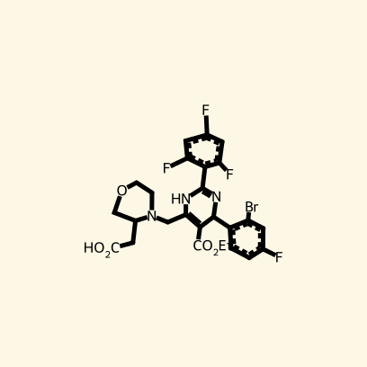 CCOC(=O)C1=C(CN2CCOCC2CC(=O)O)NC(c2c(F)cc(F)cc2F)=NC1c1ccc(F)cc1Br